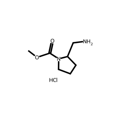 COC(=O)N1CCCC1CN.Cl